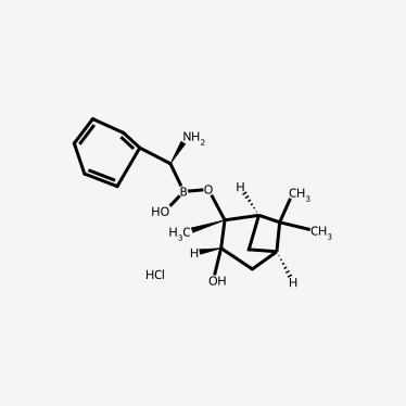 CC1(C)[C@@H]2C[C@H]1[C@@](C)(OB(O)[C@H](N)c1ccccc1)[C@@H](O)C2.Cl